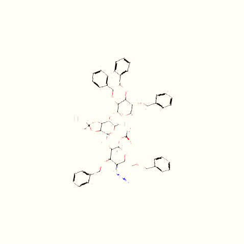 CC1O[C@@H](OC2C(OCc3ccccc3)C(N=[N+]=[N-])[C@@H](COCc3ccccc3)O[C@@H]2OC(=O)C(Cl)(Cl)Cl)C2OC(C)(C)OC2[C@H]1O[C@@H]1OC[C@@H](OCc2ccccc2)C(OCc2ccccc2)C1OCc1ccccc1